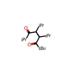 CC(C)C(=O)C(C(C)C)C(C(=O)C(C)(C)C)C(C)C